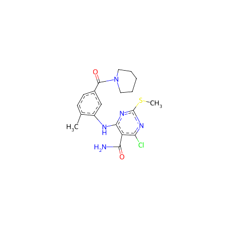 CSc1nc(Cl)c(C(N)=O)c(Nc2cc(C(=O)N3CCCCC3)ccc2C)n1